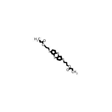 C=CC(=O)OCCCSc1ccc2c(c1)Sc1ccc(SCCCOC(=O)C=C)cc1S2